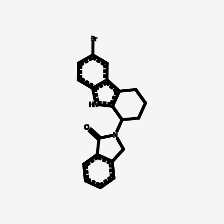 O=C1c2ccccc2CN1C1CCCc2c1[nH]c1ccc(Br)cc21